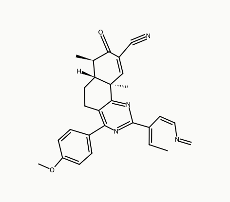 C=N/C=C\C(=C/C)c1nc(-c2ccc(OC)cc2)c2c(n1)[C@]1(C)C=C(C#N)C(=O)[C@H](C)[C@H]1CC2